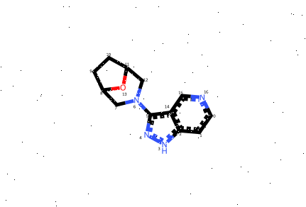 c1cc2[nH]nc(N3CC4CCC(C3)O4)c2cn1